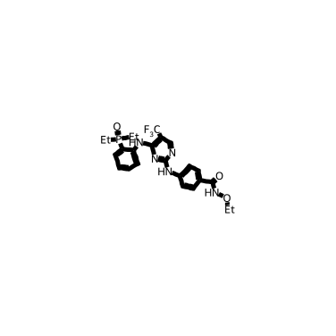 CCONC(=O)c1ccc(Nc2ncc(C(F)(F)F)c(Nc3ccccc3P(=O)(CC)CC)n2)cc1